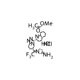 COC[C@@H](C)Oc1cccc2ccc(-c3nnc4ccc([C@@H](N5CC[C@H](N)C5)C(F)(F)F)cn34)nc12.Cl.Cl